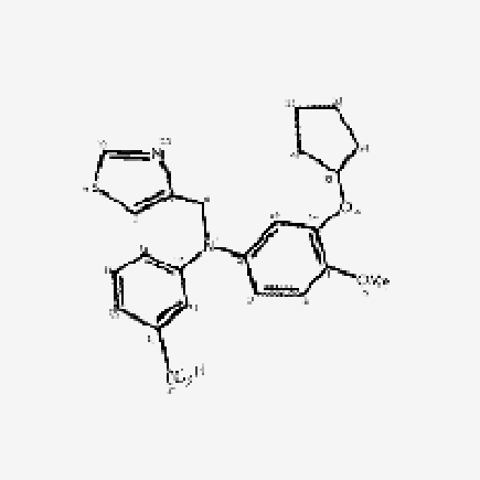 COc1ccc(N(Cc2cscn2)c2cccc(C(=O)O)c2)cc1OC1CCCC1